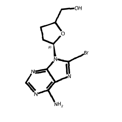 Nc1ncnc2c1nc(Br)n2[C@H]1CCC(CO)O1